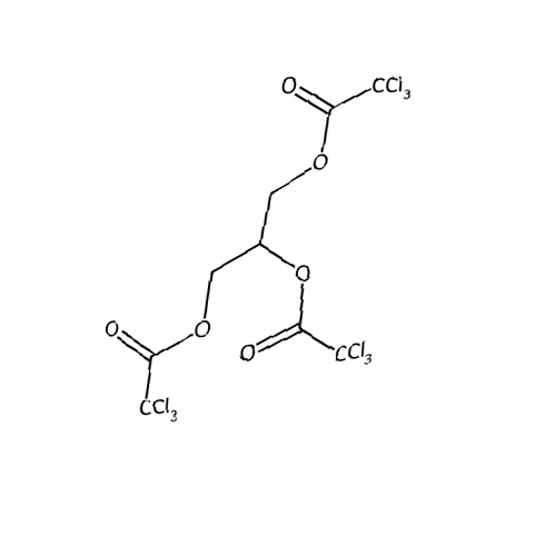 O=C(OCC(COC(=O)C(Cl)(Cl)Cl)OC(=O)C(Cl)(Cl)Cl)C(Cl)(Cl)Cl